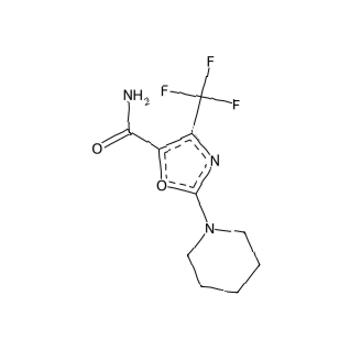 NC(=O)c1oc(N2CCCCC2)nc1C(F)(F)F